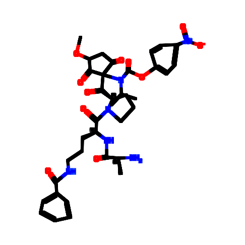 COC1CC(=O)C(C(=O)[C@H]2CCCN2C(=O)[C@H](CCCNC(=O)c2ccccc2)NC(=O)[C@H](C)N)(N(C(=O)Oc2ccc([N+](=O)[O-])cc2)C(C)C)C1=O